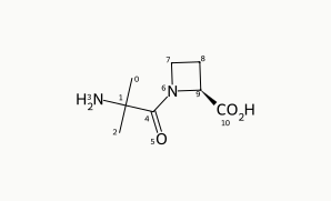 CC(C)(N)C(=O)N1CC[C@H]1C(=O)O